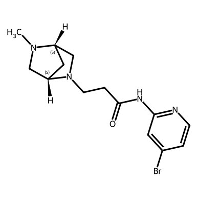 CN1C[C@@H]2C[C@H]1CN2CCC(=O)Nc1cc(Br)ccn1